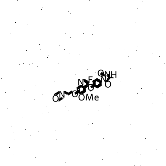 COc1cc2c(Oc3ccc(N4C(=O)N[C@@H](C)C4=O)cc3F)ccnc2cc1OCCCN1CCOCC1